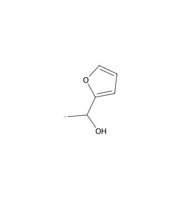 [CH2]C(O)c1ccco1